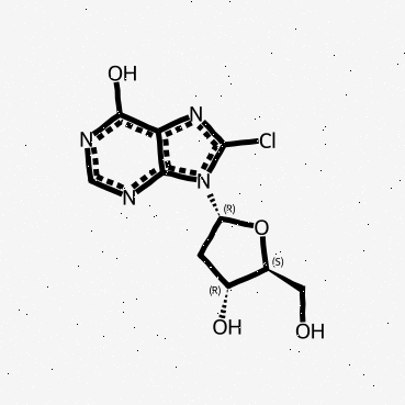 OC[C@@H]1O[C@@H](n2c(Cl)nc3c(O)ncnc32)C[C@H]1O